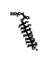 CCOC(=O)CC(=O)OC(F)(F)C(F)(F)C(F)(F)C(F)(F)C(F)(F)C(F)(F)C(F)(F)C(F)(F)F